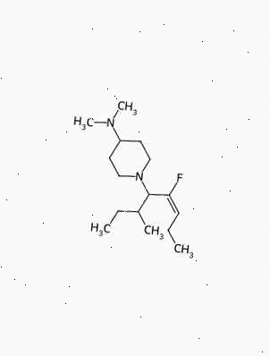 CC/C=C(/F)C(C(C)CC)N1CCC(N(C)C)CC1